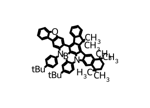 CC(C)(C)c1ccc(N2B3c4cc(C(C)(C)C)ccc4-n4c5cc6c(cc5c5c7c(c(c3c54)-c3cc4oc5ccccc5c4cc32)-c2ccccc2C7(C)C)C(C)(C)CCC6(C)C)cc1